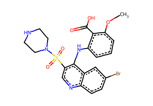 COc1cccc(Nc2c(S(=O)(=O)N3CCNCC3)cnc3ccc(Br)cc23)c1C(=O)O